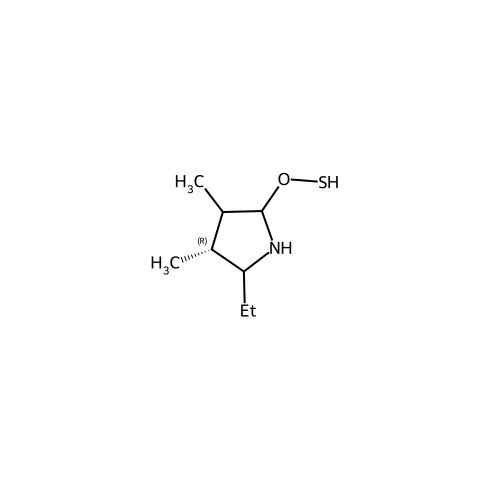 CCC1NC(OS)C(C)[C@H]1C